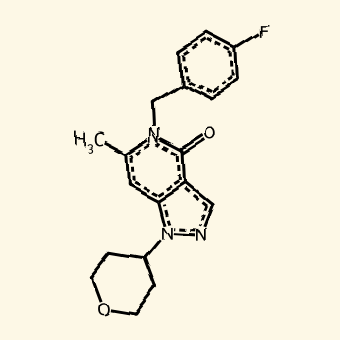 Cc1cc2c(cnn2C2CCOCC2)c(=O)n1Cc1ccc(F)cc1